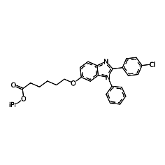 CC(C)OC(=O)CCCCCOc1ccc2nc(-c3ccc(Cl)cc3)n(-c3ccccc3)c2c1